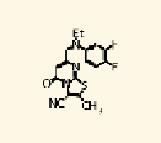 CCN(Cc1cc(=O)n2c(C#N)c(C)sc2n1)c1ccc(F)c(F)c1